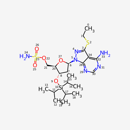 CCSc1nn([C@H]2C[C@H](O[Si](C(C)C)(C(C)C)C(C)C)[C@@H](COS(N)(=O)=O)O2)c2ncnc(N)c12